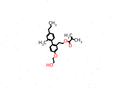 C=C(C)C(=O)OCCc1cc(OCCO)ccc1-c1ccc(CCC)cc1C